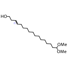 COC(CCCCCCCCCCCC/C=C/CCO)OC